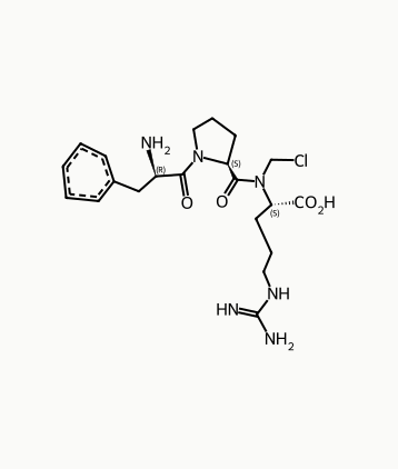 N=C(N)NCCC[C@@H](C(=O)O)N(CCl)C(=O)[C@@H]1CCCN1C(=O)[C@H](N)Cc1ccccc1